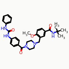 COc1ccc(C(=O)NC(C)(C)C)cc1CN1CCN(C(=O)c2ccc(NC(=O)Nc3ccccc3)cc2)CC1